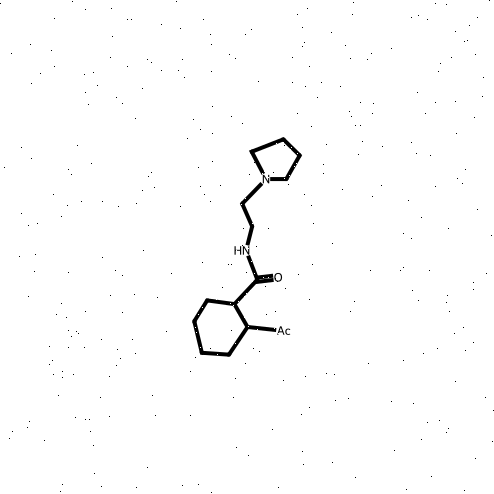 CC(=O)C1CCCCC1C(=O)NCCN1CCCC1